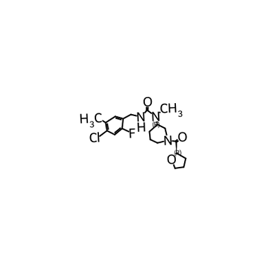 Cc1cc(CNC(=O)N(C)[C@@H]2CCCN(C(=O)[C@H]3CCCO3)C2)c(F)cc1Cl